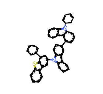 C1=CCC(n2c3ccccc3c3c(-c4ccc5c(c4)c4ccccc4n5-c4cc(-c5ccccc5)c5sc6ccccc6c5c4)cccc32)C=C1